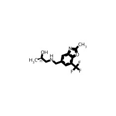 Cc1nc2cc(CNC[C@@H](C)O)cc(C(F)(F)F)c2o1